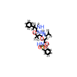 CN[C@H](C(=O)N[C@H](C(=O)N(C)[C@H](CCC(=O)NS(=O)(=O)Cc1ccccc1)C(C)C)C(C)(C)C)C(C)(C)c1ccccc1